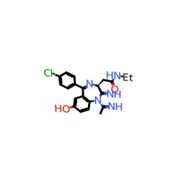 CCNC(=O)C[C@@H]1N=C(c2ccc(Cl)cc2)c2cc(O)ccc2N(C(C)=N)C1=N